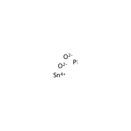 [O-2].[O-2].[P].[Sn+4]